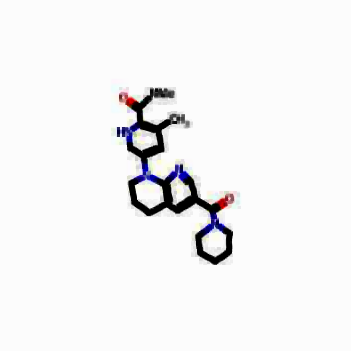 CNC(=O)C1=C(C)C=C(N2CCCc3cc(C(=O)N4CCCCC4)cnc32)CN1